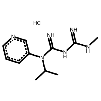 CNC(=N)NC(=N)N(c1cccnc1)C(C)C.Cl